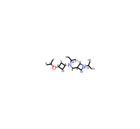 CC(C)O[C@H]1C[C@H](N(CC2CN(C(C)C)C2)C(C)C)C1